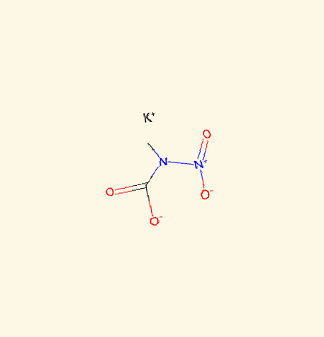 CN(C(=O)[O-])[N+](=O)[O-].[K+]